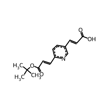 CC(C)(C)OC(=O)C=Cc1ccc(C=CC(=O)O)cn1